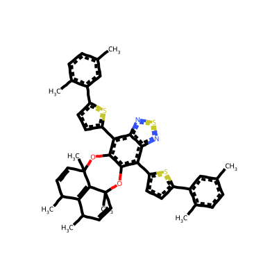 Cc1ccc(C)c(-c2ccc(-c3c4c(c(-c5ccc(-c6cc(C)ccc6C)s5)c5nsnc35)OC3(C)C=CC(C)C5=C3C(C)(C=CC5C)O4)s2)c1